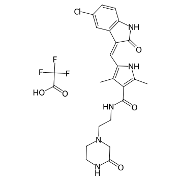 Cc1[nH]c(/C=C2\C(=O)Nc3ccc(Cl)cc32)c(C)c1C(=O)NCCN1CCNC(=O)C1.O=C(O)C(F)(F)F